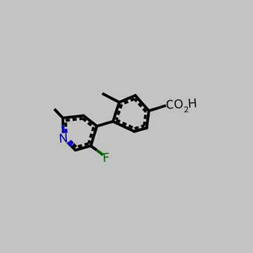 Cc1cc(-c2ccc(C(=O)O)cc2C)c(F)cn1